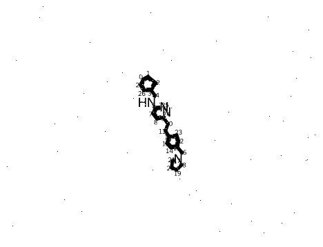 c1ccc(CNc2ccc(CCc3ccc(CN4CCCC4)cc3)nn2)cc1